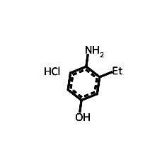 CCc1cc(O)ccc1N.Cl